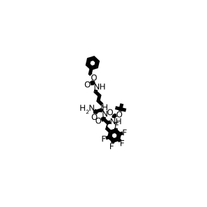 CC(C)(C)OC(=O)N[C@@H](Cc1c(F)c(F)c(F)c(F)c1F)C(=O)N[C@@H](CCCCNC(=O)OCc1ccccc1)C(N)=O